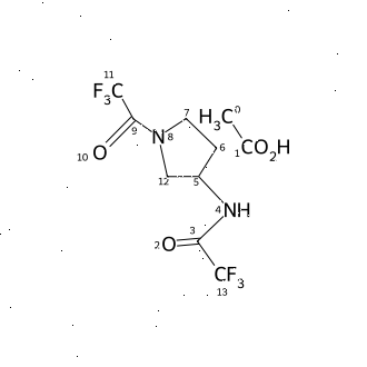 CC(=O)O.O=C(NC1CCN(C(=O)C(F)(F)F)C1)C(F)(F)F